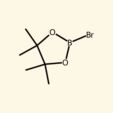 CC1(C)OB(Br)OC1(C)C